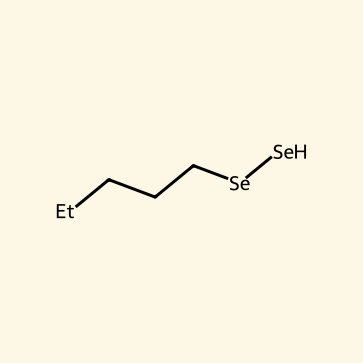 CCCCC[Se][SeH]